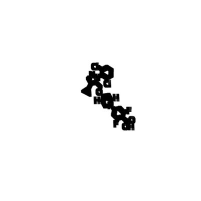 O=C(O)c1c(F)cc(N2C[C@@H]3C[C@H]2C[C@H]3OCc2c(C3CC3)cnn2-c2c(Cl)cccc2Cl)cc1F